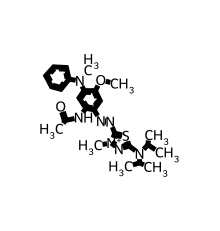 COc1cc(N=Nc2sc(N(C(C)C)C(C)C)n[n+]2C)c(NC(C)=O)cc1N(C)c1ccccc1